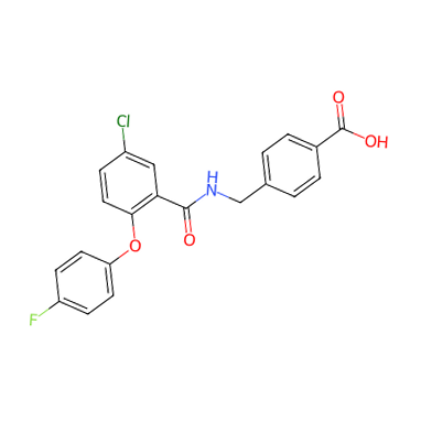 O=C(O)c1ccc(CNC(=O)c2cc(Cl)ccc2Oc2ccc(F)cc2)cc1